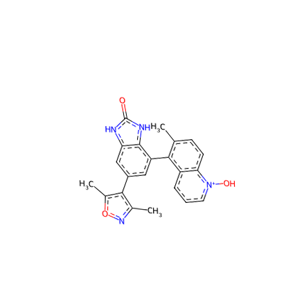 Cc1ccc2c(ccc[n+]2O)c1-c1cc(-c2c(C)noc2C)cc2[nH]c(=O)[nH]c12